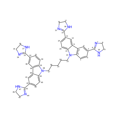 c1cc2c(cc1C1=NCCN1)c1cc(C3=NCCN3)ccc1n2CCCCCn1c2ccc(C3=NCCN3)cc2c2cc(C3=NCCN3)ccc21